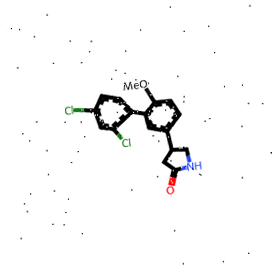 COc1ccc(C2CNC(=O)C2)cc1-c1ccc(Cl)cc1Cl